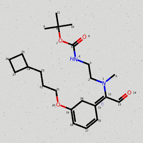 CN(CCNC(=O)OC(C)(C)C)/C(C=O)=C1/C=CC=C(OCCCC2CCC2)C1